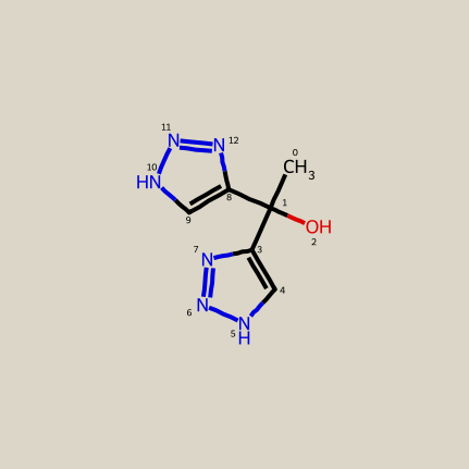 CC(O)(c1c[nH]nn1)c1c[nH]nn1